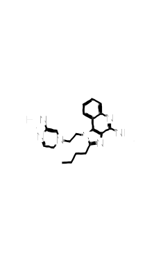 CCCCc1nc2c(N)nc3ccccc3c2n1CCN1C=C(N)N=CC1